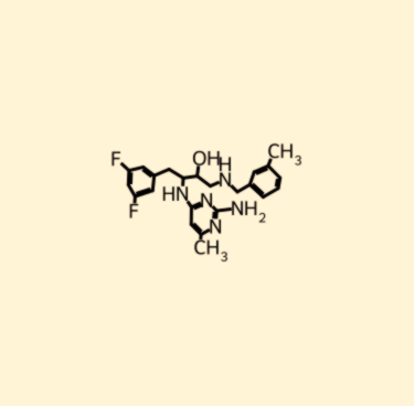 Cc1cccc(CNCC(O)C(Cc2cc(F)cc(F)c2)Nc2cc(C)nc(N)n2)c1